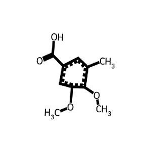 COc1cc(C(=O)O)cc(C)c1OC